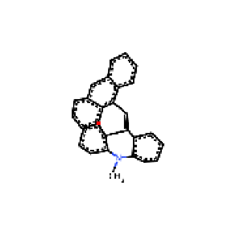 CN1c2ccccc2C(=Cc2c3ccccc3cc3ccccc23)c2ccccc21